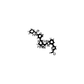 CC(=O)c1ccc(-c2cccc3[nH]c(-c4n[nH]c5cnc(-c6cncc(NC(=O)C7CCCCC7)c6)cc45)nc23)s1